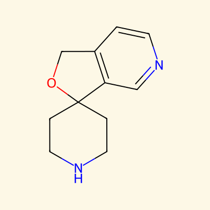 c1cc2c(cn1)C1(CCNCC1)OC2